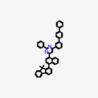 CC1(C)c2ccccc2-c2cccc(-c3ccc(-c4cc(-c5cccc(-c6ccc(-c7ccccc7)cc6)c5)nc(-c5ccccc5)n4)c4ccccc34)c21